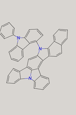 c1ccc(-n2c3ccccc3c3c(-n4c5cc6c7ccccc7n7c8ccccc8c(c5c5ccc8ccccc8c54)c67)cccc32)cc1